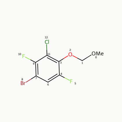 COCOc1c(F)cc(Br)c(F)c1Cl